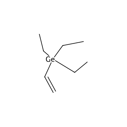 C=[CH][Ge]([CH2]C)([CH2]C)[CH2]C